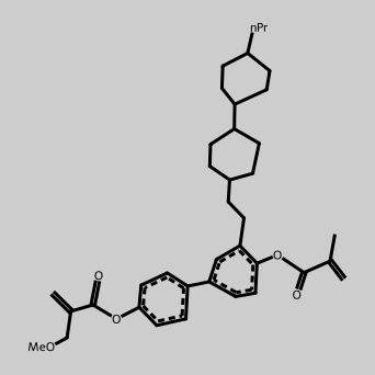 C=C(C)C(=O)Oc1ccc(-c2ccc(OC(=O)C(=C)COC)cc2)cc1CCC1CCC(C2CCC(CCC)CC2)CC1